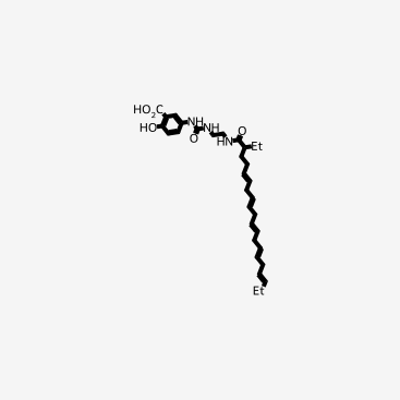 CCC=CCC=CCC=CCC=CCC=CCCC(CC)C(=O)NCCNC(=O)Nc1ccc(O)c(C(=O)O)c1